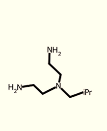 [CH2]C(C)CN(CCN)CCN